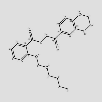 CCCCOCOc1ccccc1C(=O)CCC(=O)c1ccc2c(c1)OCCO2